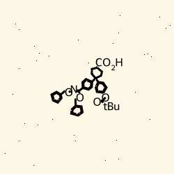 CC(C)(C)C(=O)Oc1ccc(C2(c3ccc(C(=NOCc4ccccc4)OCc4ccccc4)cc3)CCC(C(=O)O)CC2)cc1